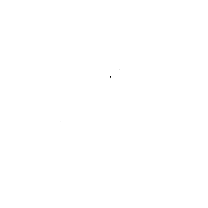 CO[C@@H]1CC(C(=O)CCl)N(C(=O)OC(C)(C)C)C1